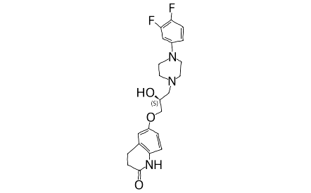 O=C1CCc2cc(OC[C@@H](O)CN3CCN(c4ccc(F)c(F)c4)CC3)ccc2N1